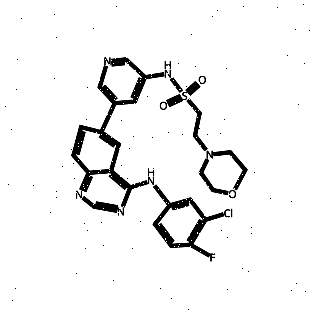 O=S(=O)(CCN1CCOCC1)Nc1cncc(-c2ccc3ncnc(Nc4ccc(F)c(Cl)c4)c3c2)c1